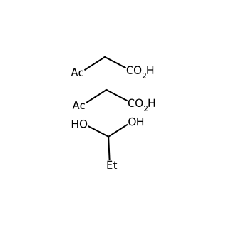 CC(=O)CC(=O)O.CC(=O)CC(=O)O.CCC(O)O